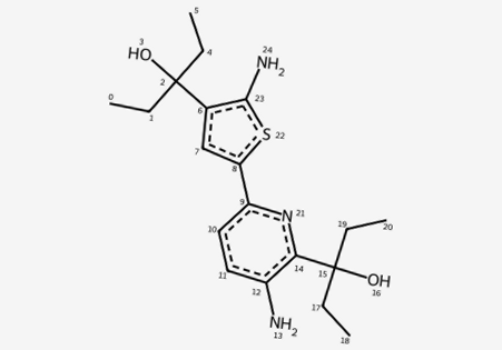 CCC(O)(CC)c1cc(-c2ccc(N)c(C(O)(CC)CC)n2)sc1N